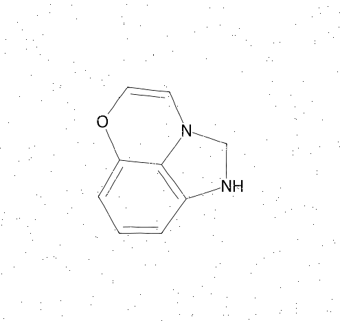 C1=CN2CNc3cccc(c32)O1